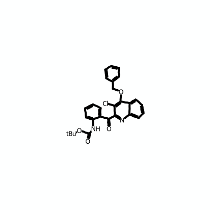 CC(C)(C)OC(=O)Nc1ccccc1C(=O)c1nc2ccccc2c(OCc2ccccc2)c1Cl